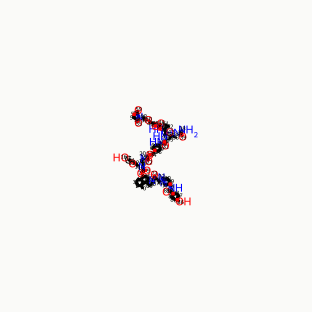 Cc1cccc2c(OC(=O)N(CCOCCO)CCN(C)C(=O)OCc3ccc(NC(=O)[C@H](CCCNC(N)=O)NC(=O)[C@@H](NC(=O)OCCOCCN4C(=O)C=CC4=O)C(C)C)cc3)cc3c(c12)CCN3C(=O)c1cn2cc(NC(=O)c3ccc(O)cc3)ccc2n1